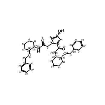 O=C(Cn1nc(O)cc1C(=O)N[C@H]1CCCC[C@@H]1OCc1ccccc1)N[C@H]1CCCC[C@@H]1OCc1ccccc1